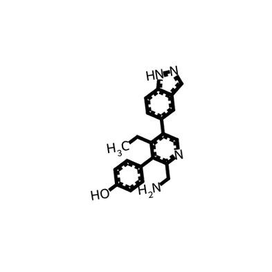 CCc1c(-c2ccc3[nH]ncc3c2)cnc(CN)c1-c1ccc(O)cc1